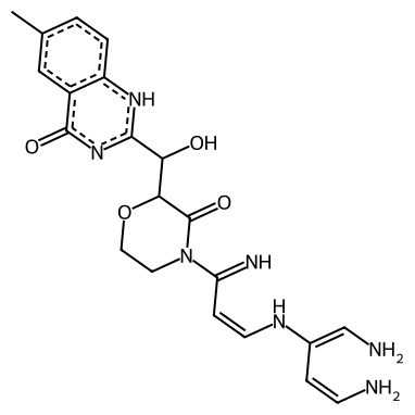 Cc1ccc2[nH]c(C(O)C3OCCN(C(=N)/C=C\NC(/C=C\N)=C/N)C3=O)nc(=O)c2c1